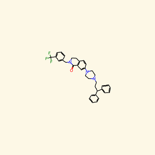 O=C1c2cc(N3CCN(CCC(c4ccccc4)c4ccccc4)CC3)ccc2CCN1Cc1cccc(C(F)(F)F)c1